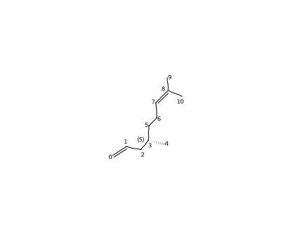 C=CC[C@@H](C)CCC=C(C)C